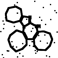 C1CCCC2=C(CCC1)C1=C(CCCCCCC1)n1c(nc3c1CCCCCC3)N2